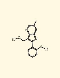 CCOCn1c(-c2ccccc2SCC)nc2cc(C)cnc21